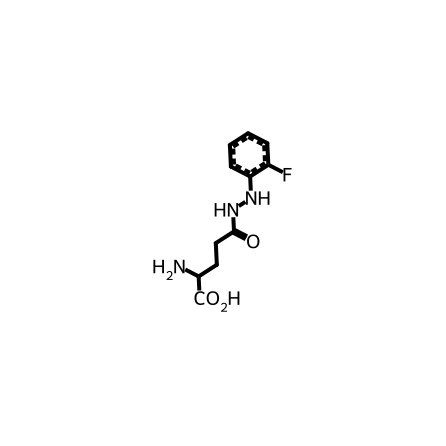 NC(CCC(=O)NNc1ccccc1F)C(=O)O